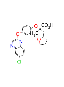 CC(CC1CCCO1)(Oc1ccc(Oc2cnc3cc(Cl)ccc3n2)cc1)C(=O)O